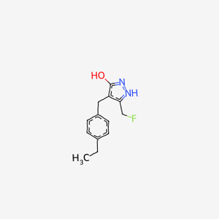 CCc1ccc(Cc2c(O)n[nH]c2CF)cc1